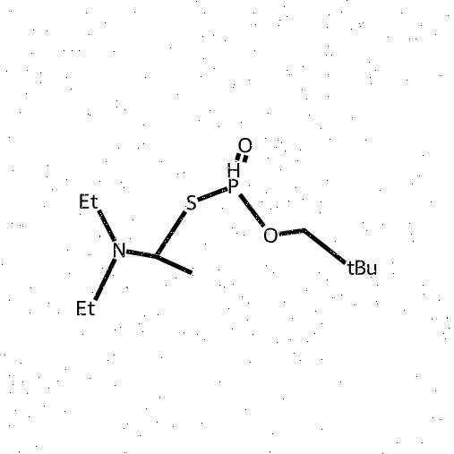 CCN(CC)C(C)S[PH](=O)OCC(C)(C)C